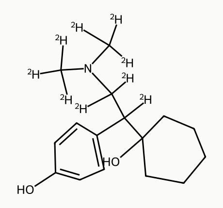 [2H]C([2H])([2H])N(C([2H])([2H])[2H])C([2H])([2H])C([2H])(c1ccc(O)cc1)C1(O)CCCCC1